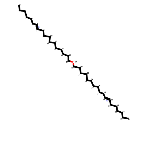 CCCCCC/C=C/CCCCCCCCCCOCCCCCCCCCC/C=C/CCCCCC